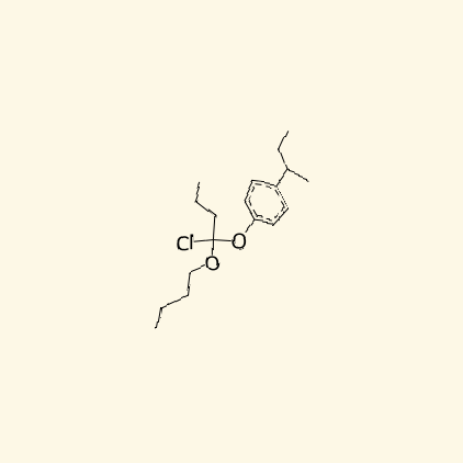 CCCCOC(Cl)(CCC)Oc1ccc(C(C)CC)cc1